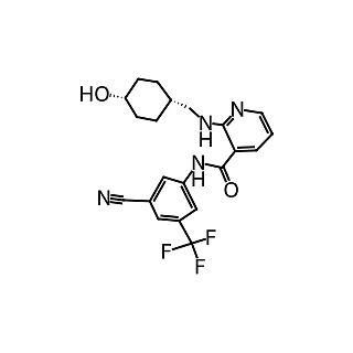 N#Cc1cc(NC(=O)c2cccnc2NC[C@H]2CC[C@@H](O)CC2)cc(C(F)(F)F)c1